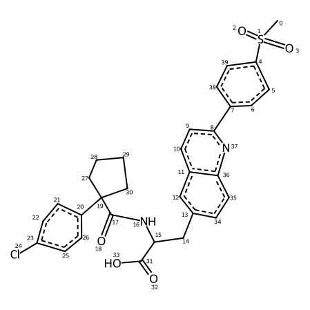 CS(=O)(=O)c1ccc(-c2ccc3cc(CC(NC(=O)C4(c5ccc(Cl)cc5)CCCC4)C(=O)O)ccc3n2)cc1